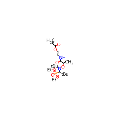 C=CC(=O)OCCNC(=O)C(C)ON(C(C(C)(C)C)P(=O)(OCC)OCC)C(C)(C)C